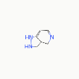 C1=NCC2CNNC2=C1